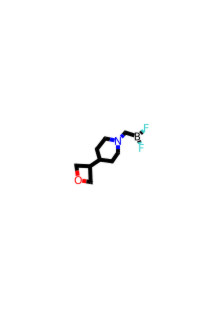 FB(F)CN1CCC(C2COC2)CC1